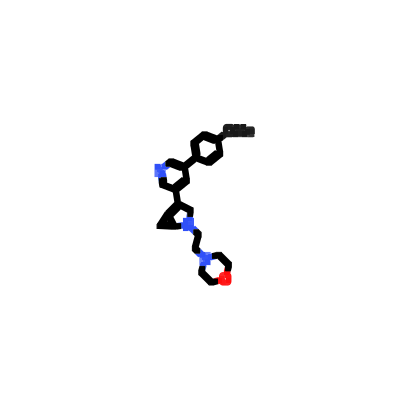 COc1ccc(-c2cncc(C3=C4C=C4N(CCN4CCOCC4)C3)c2)cc1